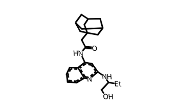 CCC(CO)Nc1cc(NC(=O)CC23CC4CC(CC(C4)C2)C3)c2ccccc2n1